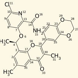 Cc1cc([C@@H](C)Oc2ccc(Cl)nc2C(N)=O)c2oc(-c3ccc4c(c3)OCCO4)c(C)c(=O)c2c1